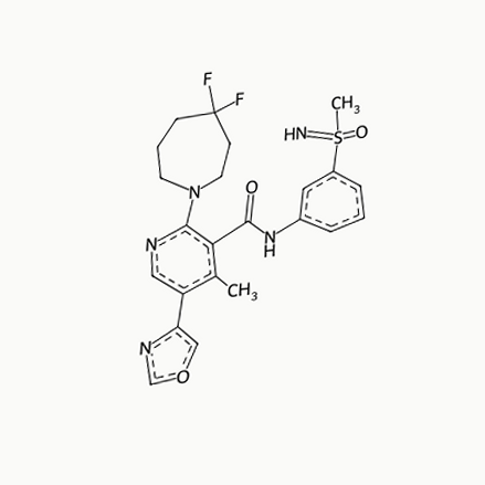 Cc1c(-c2cocn2)cnc(N2CCCC(F)(F)CC2)c1C(=O)Nc1cccc(S(C)(=N)=O)c1